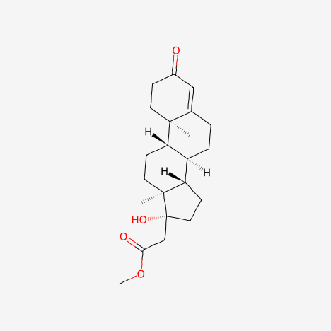 COC(=O)C[C@]1(O)CC[C@H]2[C@@H]3CCC4=CC(=O)CC[C@]4(C)[C@H]3CC[C@@]21C